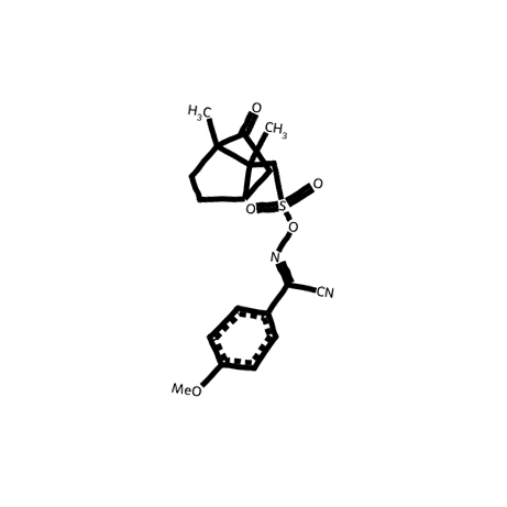 COc1ccc(/C(C#N)=N/OS(=O)(=O)CC2(C)C3CCC2(C)C(=O)C3)cc1